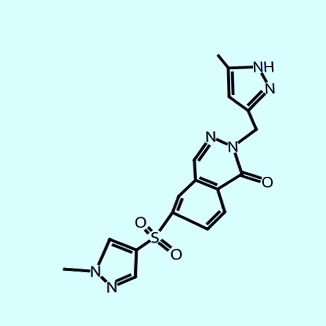 Cc1cc(Cn2ncc3cc(S(=O)(=O)c4cnn(C)c4)ccc3c2=O)n[nH]1